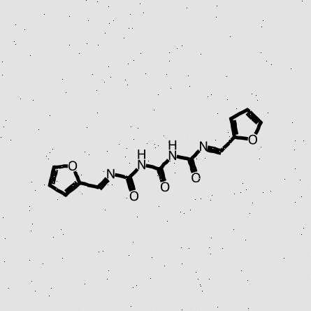 O=C(N=Cc1ccco1)NC(=O)NC(=O)N=Cc1ccco1